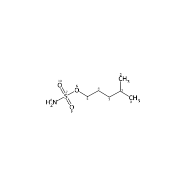 CC(C)CCCOS(N)(=O)=O